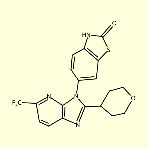 O=c1[nH]c2ccc(-n3c(C4CCOCC4)nc4ccc(C(F)(F)F)nc43)cc2s1